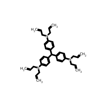 C=CCN(CC=C)c1ccc(C(c2ccc(N(CC=C)CC=C)cc2)c2ccc(N(CC=C)CC=C)cc2)cc1